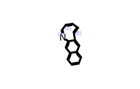 C1=C\C=C\c2cc3ccccc3cc2\N=C/1